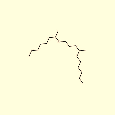 CCCCCCC(C)CCCCC(C)CCCCCC